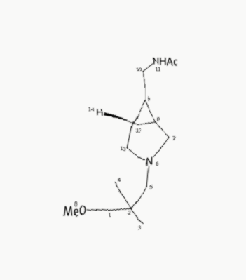 COCC(C)(C)CN1CC2C(CNC(C)=O)[C@H]2C1